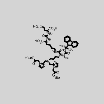 CC(C)(C)OC(=O)Cn1ccnc1CN(CCCC[C@@H](C(=O)NCCCC[C@H](NC(=O)N[C@@H](CCC(=O)O)C(=O)O)C(=O)O)N(C(=O)OC(C1c2ccccc2-c2ccccc21)(C(C)(C)C)C(C)(C)C)C(C)(C)C)Cc1nccn1CC(=O)OC(C)(C)C